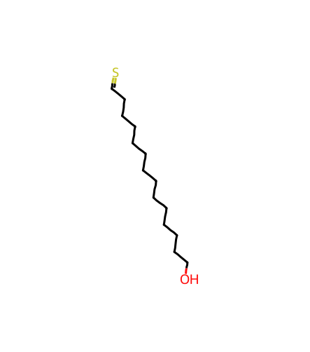 OCCCCCCCCCCCCCC=S